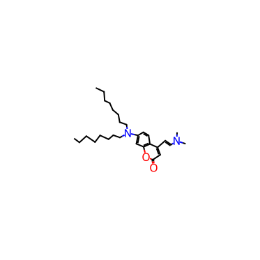 CCCCCCCCN(CCCCCCCC)c1ccc2c(C=CN(C)C)cc(=O)oc2c1